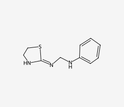 c1ccc(NCN=C2NCCS2)cc1